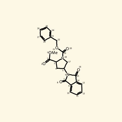 COC(=O)C1CC(N2C(=O)c3ccccc3C2=O)CN1C(=O)OCc1ccccc1